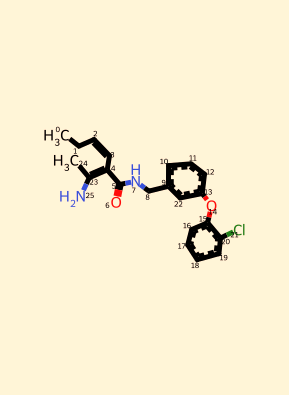 CC/C=C\C(C(=O)NCc1cccc(Oc2ccccc2Cl)c1)=C(/C)N